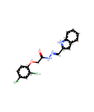 O=C(COc1ccc(Cl)cc1Cl)N/N=C/c1cc2ccccc2[nH]1